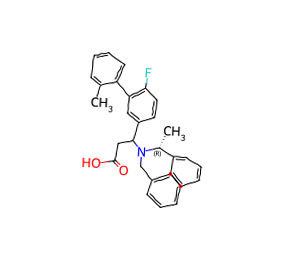 Cc1ccccc1-c1cc(C(CC(=O)O)N(Cc2ccccc2)[C@H](C)c2ccccc2)ccc1F